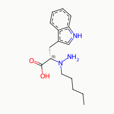 CCCCCN(N)[C@@H](Cc1c[nH]c2ccccc12)C(=O)O